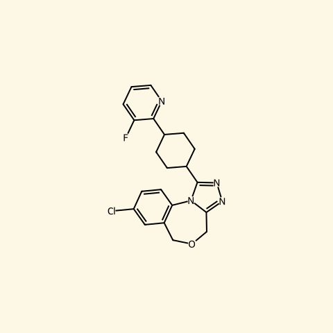 Fc1cccnc1C1CCC(c2nnc3n2-c2ccc(Cl)cc2COC3)CC1